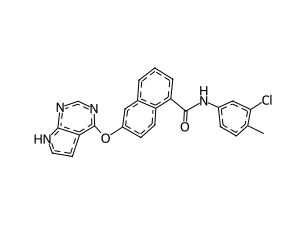 Cc1ccc(NC(=O)c2cccc3cc(Oc4ncnc5[nH]ccc45)ccc23)cc1Cl